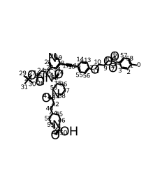 Cc1ccc(S(=O)(=O)OCCOc2ccc(C#Cc3cncc([C@H](CC(=O)OC(C)(C)C)NC(=O)[C@@H]4CCCN(C(=O)CCC5CCN(C(=O)O)CC5)C4)c3)cc2)cc1